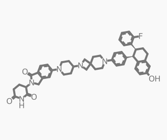 O=C1CCC(N2Cc3cc(N4CCC(N5CC6(CCN(c7ccc([C@@H]8c9ccc(O)cc9CC[C@@H]8c8ccccc8F)cc7)CC6)C5)CC4)ccc3C2=O)C(=O)N1